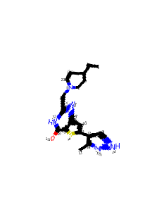 CCC1CCN(Cc2nc3cc(-c4c[nH]nc4C)sc3c(=O)[nH]2)CC1